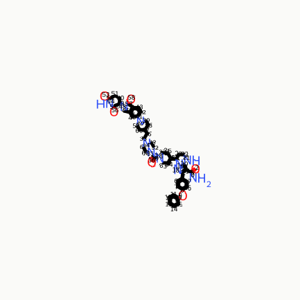 NC(=O)c1c(-c2ccc(Oc3ccccc3)cc2)nn2c1NCCC2C1CCN(C(=O)N2CCN(CCC3CCN(c4ccc5c(c4)CN(C4CCC(=O)NC4=O)C5=O)CC3)CC2)CC1